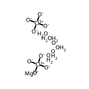 O.O.O.O.O.O.[Mg+2].[O-][Cl+3]([O-])([O-])[O-].[O-][Cl+3]([O-])([O-])[O-]